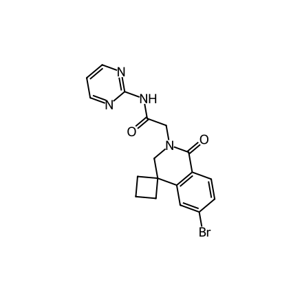 O=C(CN1CC2(CCC2)c2cc(Br)ccc2C1=O)Nc1ncccn1